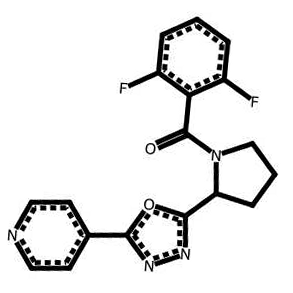 O=C(c1c(F)cccc1F)N1CCCC1c1nnc(-c2ccncc2)o1